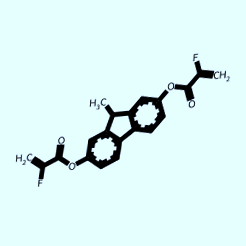 C=C(F)C(=O)Oc1ccc2c(c1)C(C)c1cc(OC(=O)C(=C)F)ccc1-2